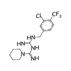 N=C(NCc1ccc(C(F)(F)F)c(Cl)c1)NC(=N)N1CCCCC1